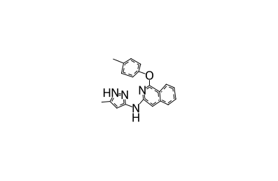 Cc1ccc(Oc2nc(Nc3cc(C)[nH]n3)cc3ccccc23)cc1